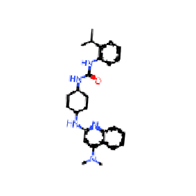 CC(C)c1ccccc1NC(=O)NC1CCC(Nc2cc(N(C)C)c3ccccc3n2)CC1